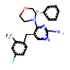 Nc1ncc(Cc2ccc(F)cc2C(F)(F)F)c(N2CCOC[C@@H]2c2ccccc2)n1